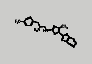 Cc1nc(NC[C@H](N)Cc2ccc(C(F)(F)F)cc2)sc1-c1nc2ccncc2s1